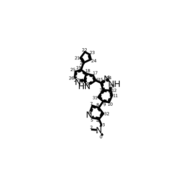 CN(C)Cc1cncc(-c2ccc3[nH]nc(-c4cc5c(C6=CCC=C6)ccnc5[nH]4)c3c2)c1